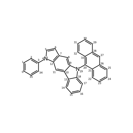 c1ccc(-n2ccc3cc4c(cc32)c2ccccc2n4-c2c3ccccc3cc3ccccc23)cc1